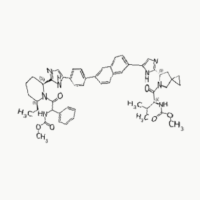 CC[C@H]1CCC[C@@H](c2ncc(-c3ccc(-c4ccc5cc(-c6cnc([C@@H]7CC8(CC8)CN7C(=O)[C@@H](NC(=O)OC)C(C)C)[nH]6)ccc5c4)cc3)[nH]2)N1C(=O)C(NC(=O)OC)c1ccccc1